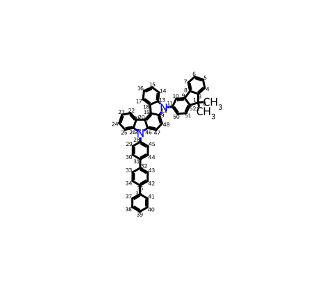 CC1(C)c2ccccc2-c2cc(-n3c4ccccc4c4c5c6ccccc6n(-c6ccc(-c7ccc(-c8ccccc8)cc7)cc6)c5ccc43)ccc21